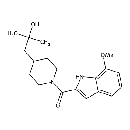 COc1cccc2cc(C(=O)N3CCC(CC(C)(C)O)CC3)[nH]c12